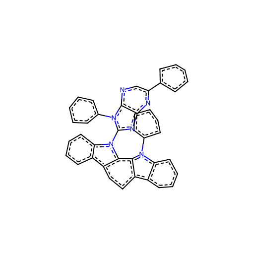 c1ccc(-c2cnc3c(n2)nc(-n2c4ccccc4c4ccc5c6ccccc6n(-c6ccccc6)c5c42)n3-c2ccccc2)cc1